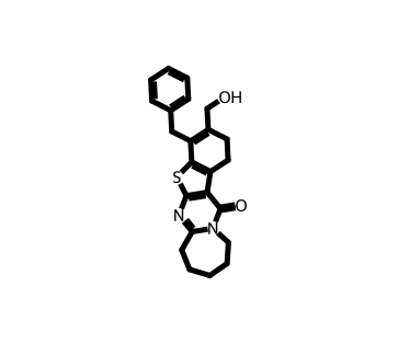 O=c1c2c3c(sc2nc2n1CCCCC2)C(Cc1ccccc1)=C(CO)CC3